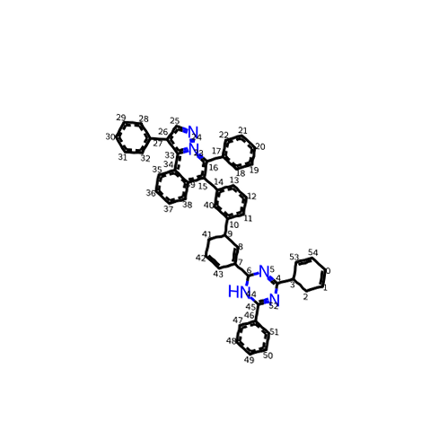 C1=CCC(C2=NC(C3=CC(c4cccc(-c5c(-c6ccccc6)n6ncc(-c7ccccc7)c6c6ccccc56)c4)CC=C3)NC(c3ccccc3)=N2)C=C1